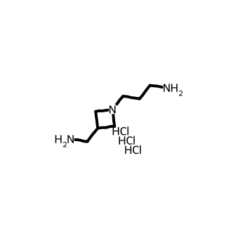 Cl.Cl.Cl.NCCCN1CC(CN)C1